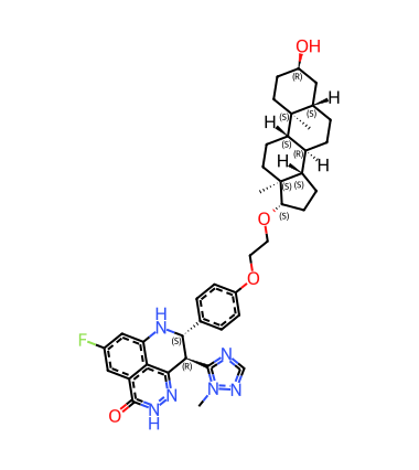 Cn1ncnc1[C@H]1c2n[nH]c(=O)c3cc(F)cc(c23)N[C@@H]1c1ccc(OCCO[C@H]2CC[C@H]3[C@@H]4CC[C@H]5C[C@H](O)CC[C@]5(C)[C@H]4CC[C@]23C)cc1